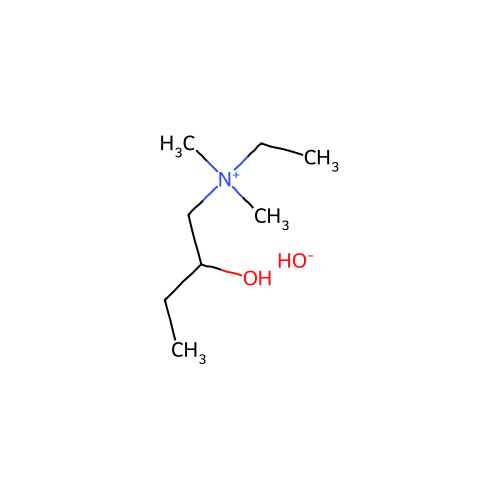 CCC(O)C[N+](C)(C)CC.[OH-]